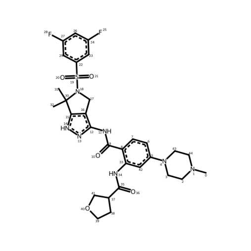 CN1CCN(c2ccc(C(=O)Nc3n[nH]c4c3CN(S(=O)(=O)c3cc(F)cc(F)c3)C4(C)C)c(NC(=O)C3CCOC3)c2)CC1